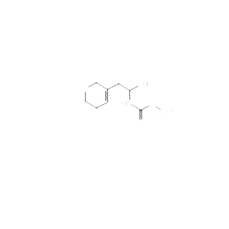 CC(C)(C)OC(=O)NC([C]=O)CC1=CCCOC1